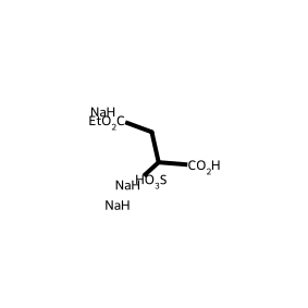 CCOC(=O)CC(C(=O)O)S(=O)(=O)O.[NaH].[NaH].[NaH]